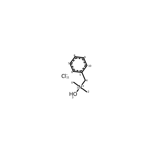 C[N+](C)(O)Cc1ccccc1.[Cl-]